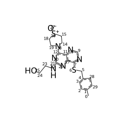 Cc1ccc(CSc2ncnc3c(N4CC[S+]([O-])CC4)nc(NCCO)nc23)cc1